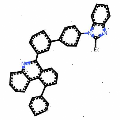 CCc1nc2ccccc2n1-c1ccc(-c2cccc(-c3nc4ccccc4c4c(-c5ccccc5)cccc34)c2)cc1